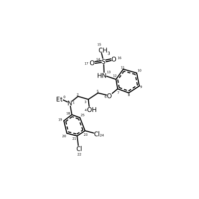 CCN(CC(O)COc1ccccc1NS(C)(=O)=O)c1ccc(Cl)c(Cl)c1